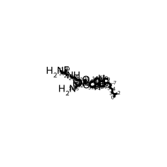 CC(C)CCC[C@@H](C)[C@H]1CC[C@H]2[C@@H]3CC=C4C[C@@H](OC(=O)N(CCCCNCC(F)CN)CC(F)CN)CC[C@]4(C)[C@H]3CC[C@]12C